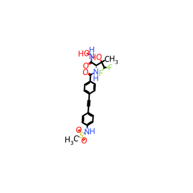 CC(O)(C(F)F)[C@H](NC(=O)c1ccc(C#Cc2ccc(NS(C)(=O)=O)cc2)cc1)C(=O)NO